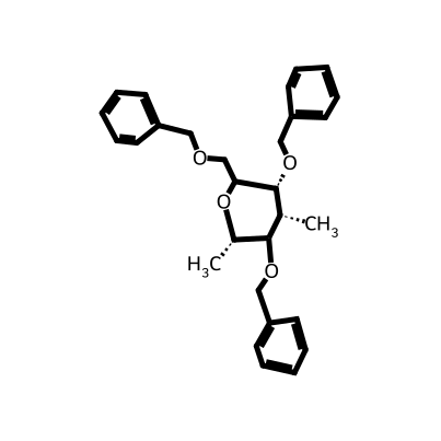 C[C@@H]1OC(COCc2ccccc2)[C@H](OCc2ccccc2)[C@H](C)C1OCc1ccccc1